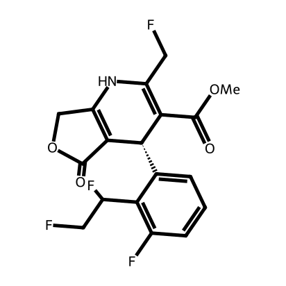 COC(=O)C1=C(CF)NC2=C(C(=O)OC2)[C@H]1c1cccc(F)c1C(F)CF